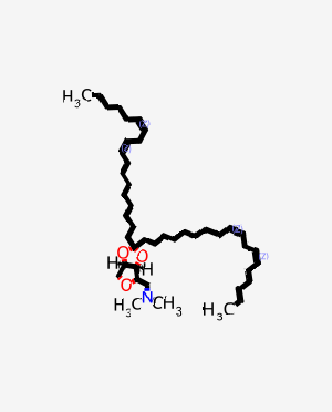 CCCCC/C=C\C/C=C\CCCCCCCCC1(CCCCCCCC/C=C\C/C=C\CCCCC)O[C@H]2COC(CN(C)C)[C@H]2O1